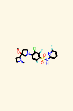 COC1(C2CCN2C)CCN(c2cc(F)c(S(=O)(=O)Nc3cccc(F)n3)c(F)c2Cl)C1